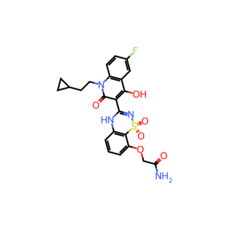 NC(=O)COc1cccc2c1S(=O)(=O)N=C(c1c(O)c3cc(F)ccc3n(CCC3CC3)c1=O)N2